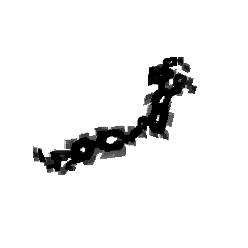 CCC1C(C2=NN=C(C)C2)=Cc2c(OCCCN3CCC(c4ccc(C)c(C)c4)CC3)cccc21